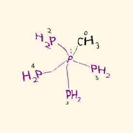 CP(P)(P)(P)P